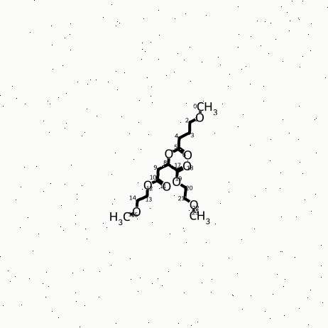 COCCCC(=O)OC(CC(=O)OCCOC)C(=O)OCCOC